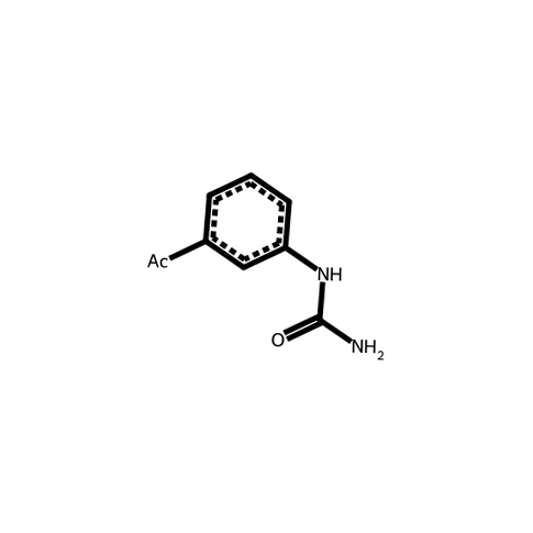 CC(=O)c1cccc(NC(N)=O)c1